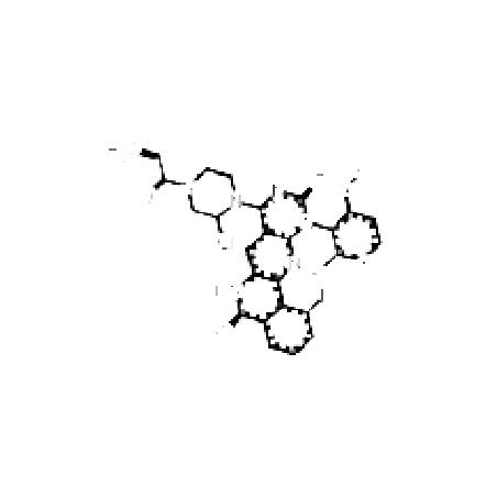 C=CC(=O)N1CCN(c2nc(=O)n(-c3c(SC)ccnc3Br)c3nc4c(cc23)[nH]c(=O)c2cccc(F)c24)C(C)C1